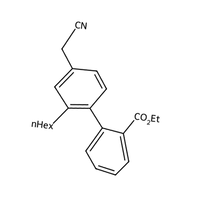 CCCCCCc1cc(CC#N)ccc1-c1ccccc1C(=O)OCC